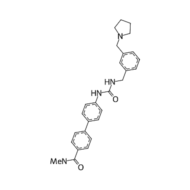 CNC(=O)c1ccc(-c2ccc(NC(=O)NCc3cccc(CN4CCCC4)c3)cc2)cc1